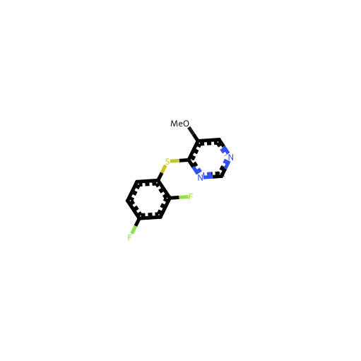 COc1cn[c]nc1Sc1ccc(F)cc1F